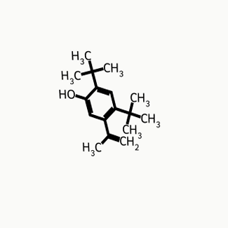 C=C(C)c1cc(O)c(C(C)(C)C)cc1C(C)(C)C